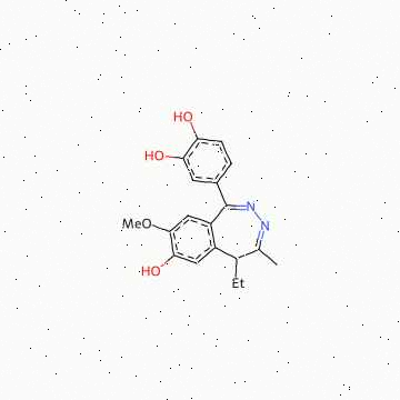 CCC1C(C)=NN=C(c2ccc(O)c(O)c2)c2cc(OC)c(O)cc21